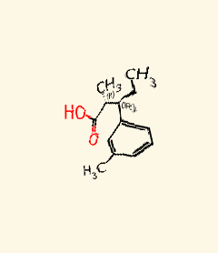 CC[C@@H](c1cccc(C)c1)[C@@H](C)C(=O)O